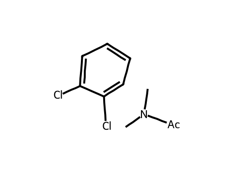 CC(=O)N(C)C.Clc1ccccc1Cl